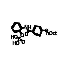 CCCCCCCCOc1ccc(C(=O)Nc2ccccc2OP(=O)(O)O)cc1